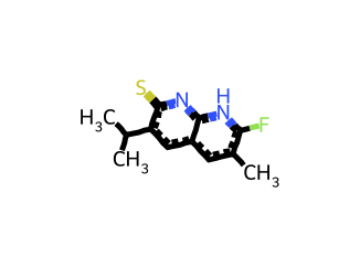 Cc1cc2cc(C(C)C)c(=S)nc-2[nH]c1F